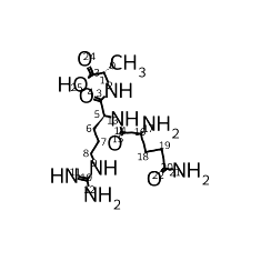 C[C@H](NC(=O)[C@H](CCCNC(=N)N)NC(=O)[C@@H](N)CCC(N)=O)C(=O)O